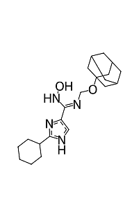 ONC(=NCOC12CC3CC(CC(C3)C1)C2)c1c[nH]c(C2CCCCC2)n1